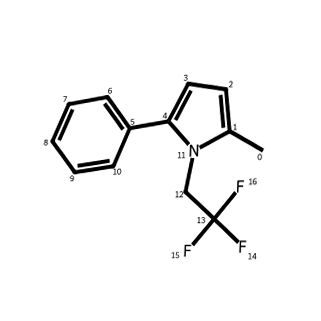 Cc1ccc(-c2ccccc2)n1CC(F)(F)F